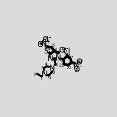 CCN1CCN(Cc2nc3sc([N+](=O)[O-])cc3c(=O)n2-c2ccc([N+](=O)[O-])cc2Cl)CC1